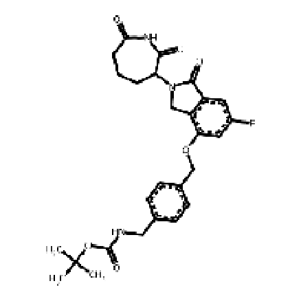 CC(C)(C)OC(=O)NCc1ccc(COc2cc(F)cc3c2CN(C2CCCC(=O)NC2=O)C3=O)cc1